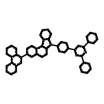 c1ccc(-c2cc(-c3ccc(-n4c5ccccc5c5c6ccc(-c7cc8ccccc8c8ccccc78)cc6ccc54)cc3)nc(-c3ccccc3)n2)cc1